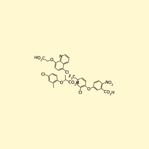 Cc1cc(Cl)ccc1OC(C)C(=O)O.O=C(O)COc1ccc(Cl)c2cccnc12.O=C(O)c1cc(Oc2ccc(C(F)(F)F)cc2Cl)ccc1[N+](=O)[O-]